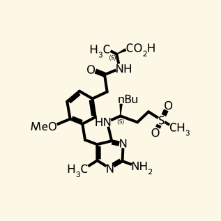 CCCC[C@@H](CCS(C)(=O)=O)Nc1nc(N)nc(C)c1Cc1cc(CC(=O)N[C@@H](C)C(=O)O)ccc1OC